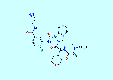 C[C@@H](C(=O)N[C@H](C(=O)N1Cc2ccccc2[C@H]1C(=O)Nc1cc(C(=O)NCCN)ccc1F)C1CCOCC1)N(C)C(=O)O